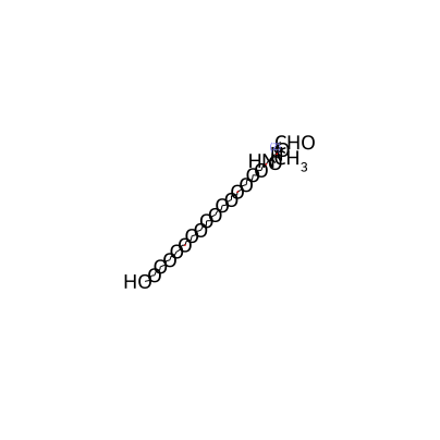 CN(CC(=O)NCCOCCOCCOCCOCCOCCOCCOCCOCCOCCOCCOCCOCCOCCOCCOCCO)C(=O)/C=C\C=O